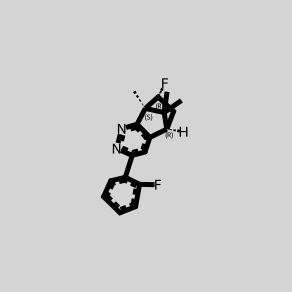 CC1(C)[C@H]2C[C@@H](F)[C@]1(C)c1nnc(-c3ccccc3F)cc12